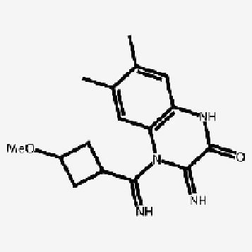 COC1CC(C(=N)n2c(=N)c(=O)[nH]c3cc(C)c(C)cc32)C1